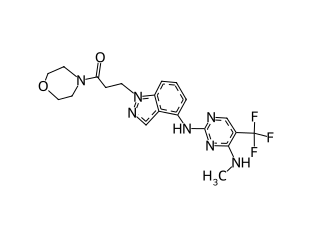 CNc1nc(Nc2cccc3c2cnn3CCC(=O)N2CCOCC2)ncc1C(F)(F)F